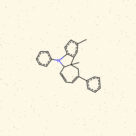 Cc1ccc2c(c1)C1(C)CC(c3ccccc3)=CC=CC1N2c1ccccc1